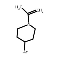 C=C(C)N1CCC(C(C)=O)CC1